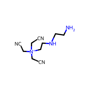 N#CC[N+](CC#N)(CC#N)CCNCCN